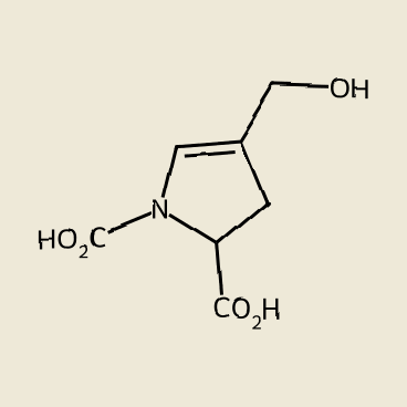 O=C(O)C1CC(CO)=CN1C(=O)O